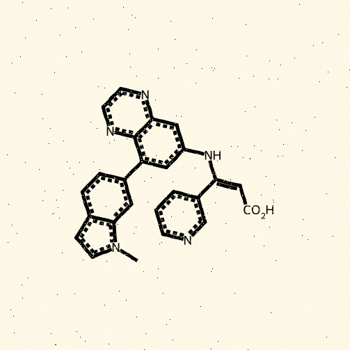 Cn1ccc2ccc(-c3cc(N/C(=C/C(=O)O)c4cccnc4)cc4nccnc34)cc21